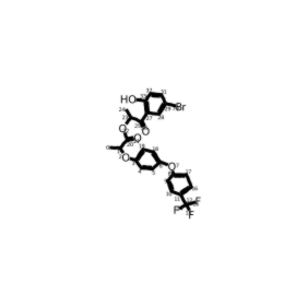 CC(Oc1ccc(Oc2ccc(C(F)(F)F)cc2)cc1)C(=O)OC(C)C(=O)c1cc(Br)ccc1O